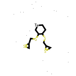 C1CC(SCC2CS2)C(SCC2CS2)C[Te]1